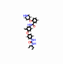 CCC(CC)NC(=O)Nc1ccc(Oc2ccc(NC(=O)c3ccccc3OC3CCNCC3)cc2C)cc1